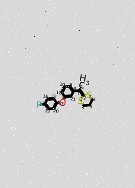 CC(=C1SCCCS1)c1cccc(Oc2ccc(F)cc2)c1